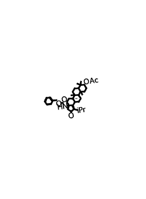 CC(=O)O[C@H]1CCC2(C)C(CCC3(C)C2CCC2C4=C(C(C)C)C(=O)CC4(NC(=O)OCc4ccccc4)CC[C@]23C)C1(C)C